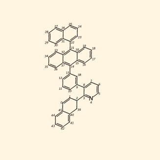 C1=CC(c2ncccc2-c2cccc(-c3c4ccccc4c(-c4cccc5ccccc45)c4ccccc34)c2)Cc2ccccc21